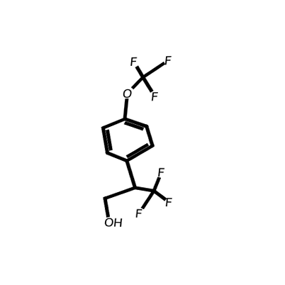 OCC(c1ccc(OC(F)(F)F)cc1)C(F)(F)F